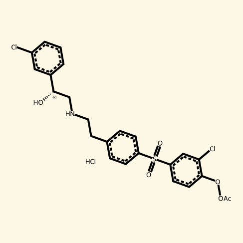 CC(=O)OOc1ccc(S(=O)(=O)c2ccc(CCNC[C@H](O)c3cccc(Cl)c3)cc2)cc1Cl.Cl